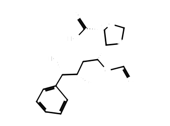 O=COC(C[C@H](Br)[C@@H](O)c1ccccc1)[C@H]1OCO[C@H]1C(=O)O